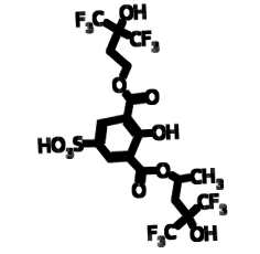 CC(CC(O)(C(F)(F)F)C(F)(F)F)OC(=O)c1cc(S(=O)(=O)O)cc(C(=O)OCCC(O)(C(F)(F)F)C(F)(F)F)c1O